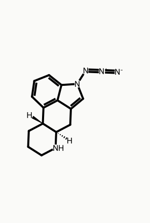 [N-]=[N+]=Nn1cc2c3c(cccc31)[C@H]1CCCN[C@@H]1C2